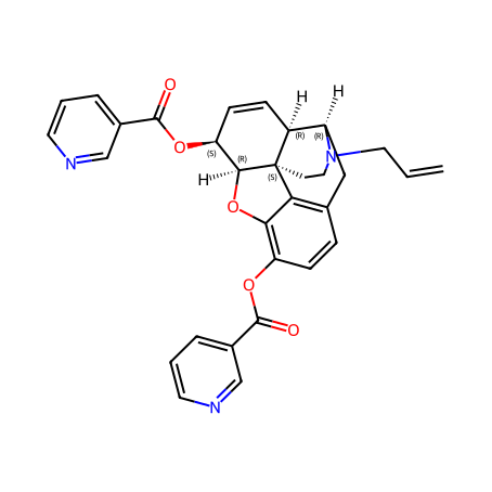 C=CCN1CC[C@]23c4c5ccc(OC(=O)c6cccnc6)c4O[C@H]2[C@@H](OC(=O)c2cccnc2)C=C[C@H]3[C@H]1C5